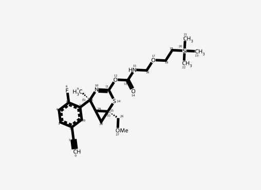 C#Cc1ccc(F)c([C@@]2(C)N=C(OC(=O)NCOCC[Si](C)(C)C)S[C@@]3(COC)CC32)c1